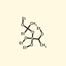 CCOC(C)[Si](OCC)(OCC)OC(C)(CC)OCC